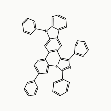 c1ccc(-c2ccc3c4cc5c(cc4c4c(-c6ccccc6)nc(-c6ccccc6)n4c3c2)c2ccccc2n5-c2ccccc2)cc1